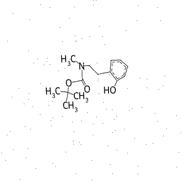 CN(CCc1ccccc1O)C(=O)OC(C)(C)C